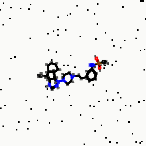 CS(=O)(=O)Nc1cccc(CCN2CCN(n3ncnc4c(C#N)c5c(c3-4)CCCC5)CC2)c1